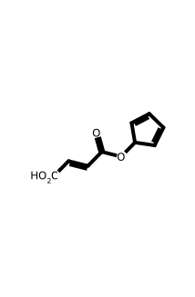 O=C(O)/C=C/C(=O)OC1C=CC=C1